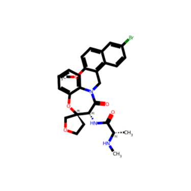 CN[C@@H](C)C(=O)N[C@H]1C(=O)N(Cc2c(OC)ccc3cc(Br)ccc23)c2ccccc2O[C@]12CCOC2